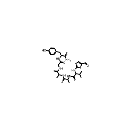 CC(NC(=O)C(C)NC(=O)C(Nc1ncc(C=O)s1)C(C)C)C(=O)NCC(=O)NC(Cc1ccc(O)cc1)C(N)=O